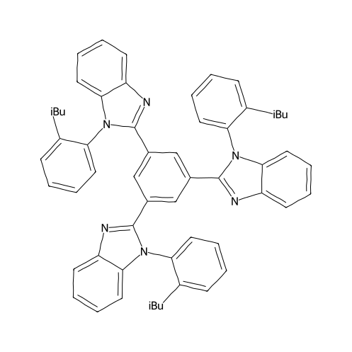 CCC(C)c1ccccc1-n1c(-c2cc(-c3nc4ccccc4n3-c3ccccc3C(C)CC)cc(-c3nc4ccccc4n3-c3ccccc3C(C)CC)c2)nc2ccccc21